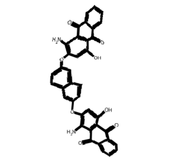 Nc1c(Oc2ccc3cc(Oc4cc(O)c5c(c4N)C(=O)c4ccccc4C5=O)ccc3c2)cc(O)c2c1C(=O)c1ccccc1C2=O